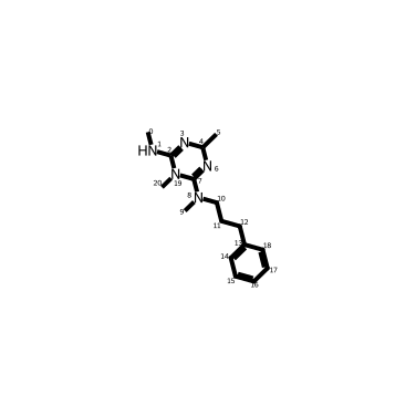 CNC1=NC(C)N=C(N(C)CCCc2ccccc2)N1C